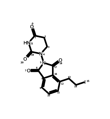 O=C1CCN(N2C(=O)c3cccc(CCI)c3C2=O)C(=O)N1